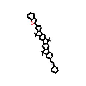 CC1(C)c2cc(/C=C/c3ccccc3)ccc2-c2cc3c(cc21)-c1cc2c(cc1C3(C)C)-c1ccc(-c3cc4ccccc4o3)cc1C2(C)C